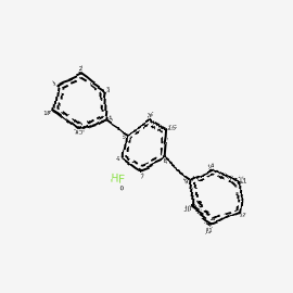 F.c1ccc(-c2ccc(-c3ccccc3)cc2)cc1